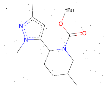 Cc1cc(C2CCC(C)CN2C(=O)OC(C)(C)C)n(C)n1